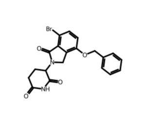 O=C1CCC(N2Cc3c(OCc4ccccc4)ccc(Br)c3C2=O)C(=O)N1